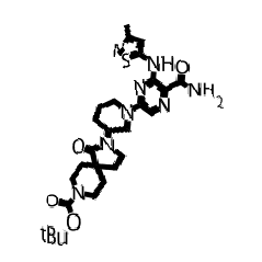 Cc1cc(Nc2nc(N3CCCC(N4CCC5(CCN(C(=O)OC(C)(C)C)CC5)C4=O)C3)cnc2C(N)=O)sn1